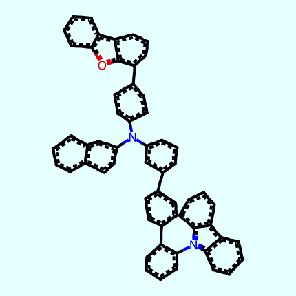 c1cc(-c2ccc(-c3ccccc3-n3c4ccccc4c4ccccc43)cc2)cc(N(c2ccc(-c3cccc4c3oc3ccccc34)cc2)c2ccc3ccccc3c2)c1